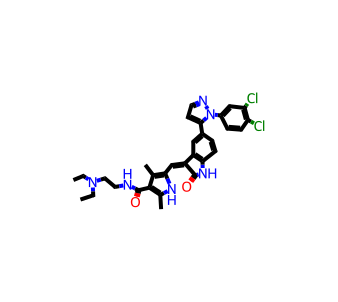 CCN(CC)CCNC(=O)c1c(C)[nH]c(/C=C2\C(=O)Nc3ccc(-c4ccnn4-c4ccc(Cl)c(Cl)c4)cc32)c1C